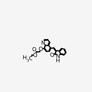 CCOC(=O)COc1ccc(C=C2C(=O)Nc3ccccc32)c2cccnc12